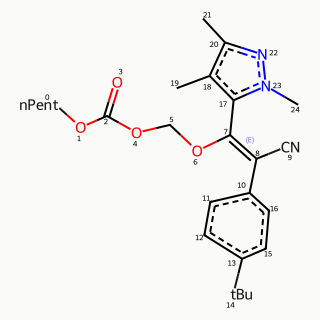 CCCCCOC(=O)OCO/C(=C(/C#N)c1ccc(C(C)(C)C)cc1)c1c(C)c(C)nn1C